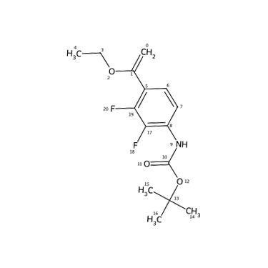 C=C(OCC)c1ccc(NC(=O)OC(C)(C)C)c(F)c1F